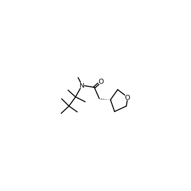 CN(C(=O)C[C@H]1CCOC1)C(C)(C)C(C)(C)C